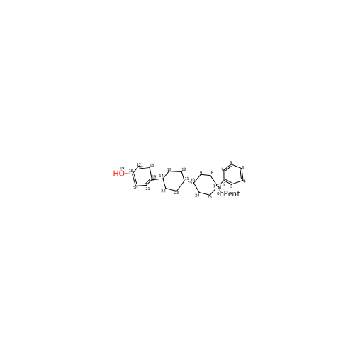 CCCCC[Si]1(c2ccccc2)CCC([C@H]2CC[C@H](c3ccc(O)cc3)CC2)CC1